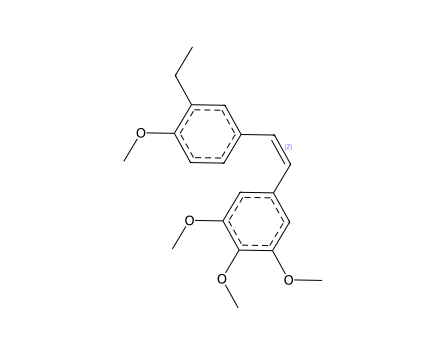 CCc1cc(/C=C\c2cc(OC)c(OC)c(OC)c2)ccc1OC